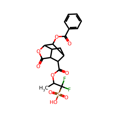 CC(OC(=O)C1C2CC3C(OC(=O)C31)C2OC(=O)c1ccccc1)C(F)(F)S(=O)(=O)O